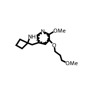 COCCCOc1cc(CC2(N)CCC2)cnc1OC